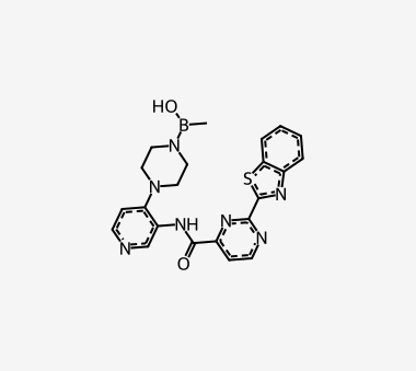 CB(O)N1CCN(c2ccncc2NC(=O)c2ccnc(-c3nc4ccccc4s3)n2)CC1